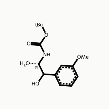 COc1cccc(C(O)[C@H](C)NC(=O)OC(C)(C)C)c1